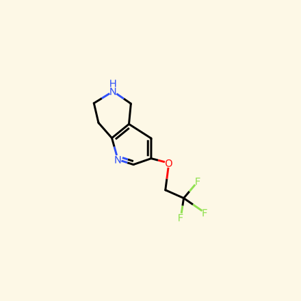 FC(F)(F)COc1cnc2c(c1)CNCC2